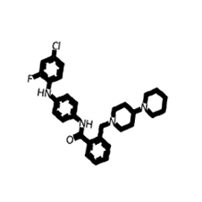 O=C(Nc1ccc(Nc2ccc(Cl)cc2F)cc1)c1ccccc1CN1CCC(N2CCCCC2)CC1